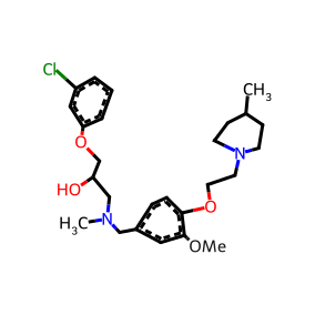 COc1cc(CN(C)CC(O)COc2cccc(Cl)c2)ccc1OCCN1CCC(C)CC1